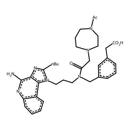 CCCCc1nc2c(N)nc3ccccc3c2n1CCCN(Cc1cccc(CC(=O)O)c1)C(=O)CN1CCCN(C(C)=O)CC1